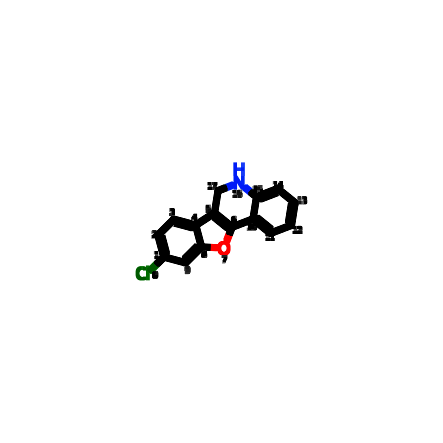 Clc1ccc2c3c(oc2c1)-c1ccccc1NC3